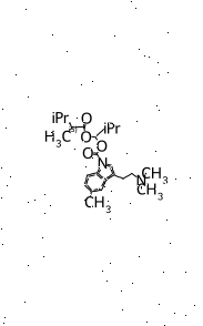 Cc1ccc2c(c1)c(CCN(C)C)cn2C(=O)OC(OC(=O)[C@@H](C)C(C)C)C(C)C